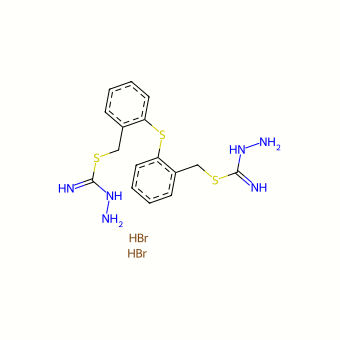 Br.Br.N=C(NN)SCc1ccccc1Sc1ccccc1CSC(=N)NN